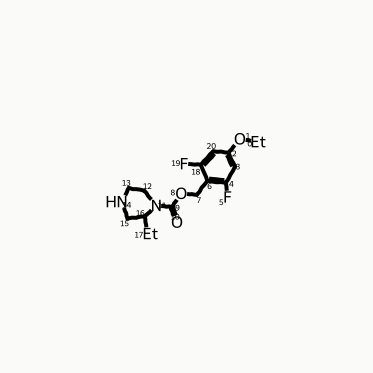 CCOc1cc(F)c(COC(=O)N2CCNCC2CC)c(F)c1